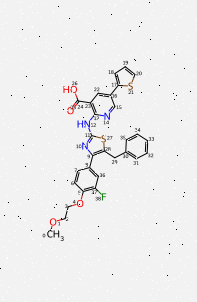 COCCOc1ccc(-c2nc(Nc3ncc(-c4cccs4)cc3C(=O)O)sc2Cc2ccccc2)cc1F